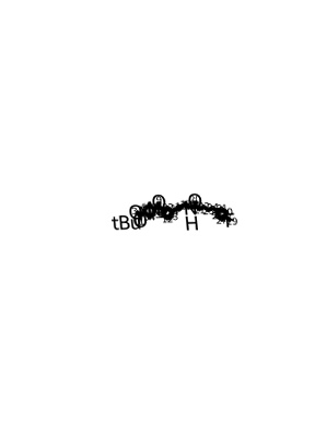 CC(C)(C)OC(=O)N1CCN(C(=O)c2cccc(C#CCNC(=O)CCCCc3ccc(F)cc3)c2)CC1